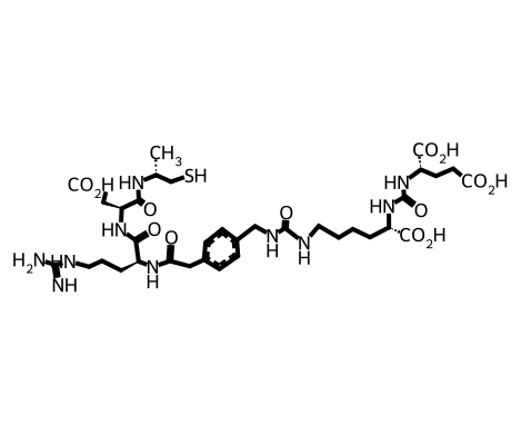 C[C@H](CS)NC(=O)[C@H](CC(=O)O)NC(=O)[C@H](CCCNC(=N)N)NC(=O)Cc1ccc(CNC(=O)NCCCC[C@H](NC(=O)N[C@@H](CCC(=O)O)C(=O)O)C(=O)O)cc1